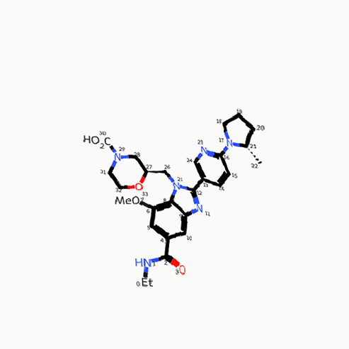 CCNC(=O)c1cc(OC)c2c(c1)nc(-c1ccc(N3CCC[C@@H]3C)nc1)n2C[C@@H]1CN(C(=O)O)CCO1